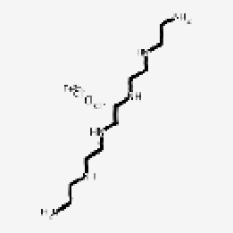 NCCNCCNCCNCCNCCN.[Cl-].[Cl-].[Cl-].[Fe+3]